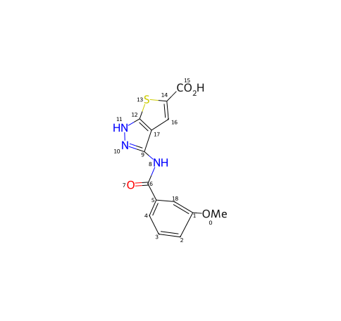 COc1cccc(C(=O)Nc2n[nH]c3sc(C(=O)O)cc23)c1